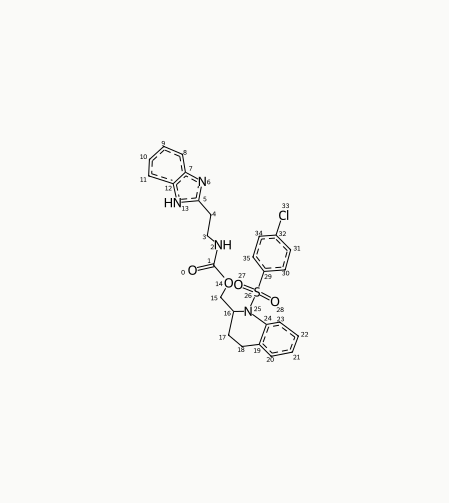 O=C(NCCc1nc2ccccc2[nH]1)OCC1CCc2ccccc2N1S(=O)(=O)c1ccc(Cl)cc1